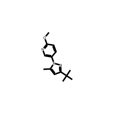 COc1ccc(-n2nc(C(C)(C)C)cc2C)cn1